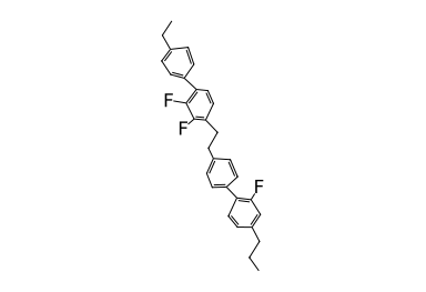 CCCc1ccc(-c2ccc(CCc3ccc(-c4ccc(CC)cc4)c(F)c3F)cc2)c(F)c1